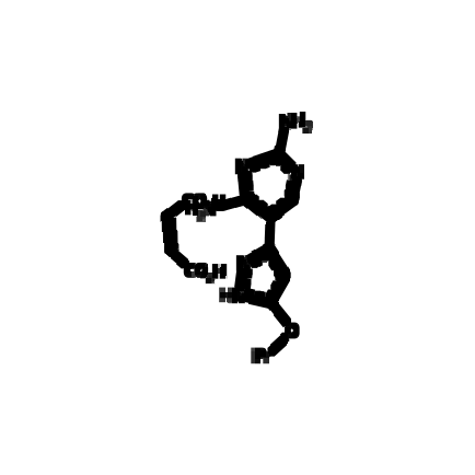 CC(C)Oc1cc(-c2cnc(N)nc2N)n[nH]1.O=C(O)/C=C\C(=O)O